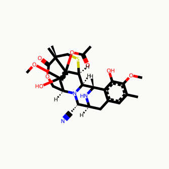 COc1c(C)cc2c(c1O)[C@@H]1N[C@@H](C2)[C@H](C#N)N2[C@H]1[C@@H]1SC[C@H](C)C(=O)OC[C@H]2c2c(O)c(OC)c(C)c(OC(C)=O)c21